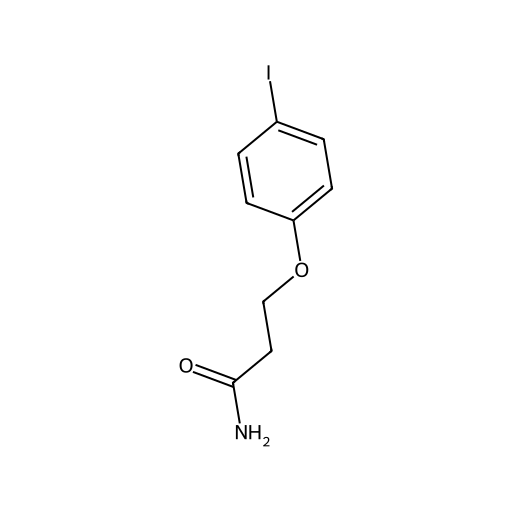 NC(=O)CCOc1ccc(I)cc1